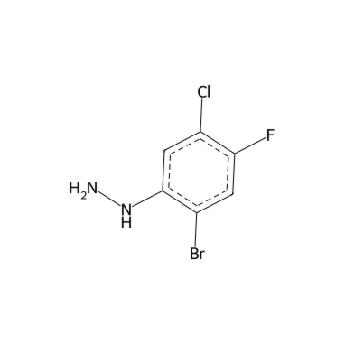 NNc1cc(Cl)c(F)cc1Br